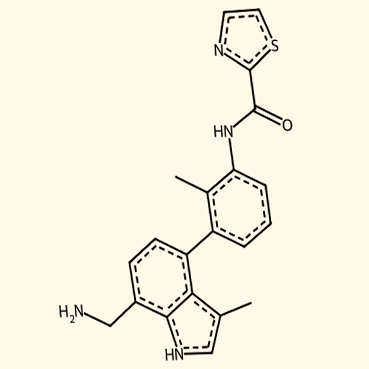 Cc1c(NC(=O)c2nccs2)cccc1-c1ccc(CN)c2[nH]cc(C)c12